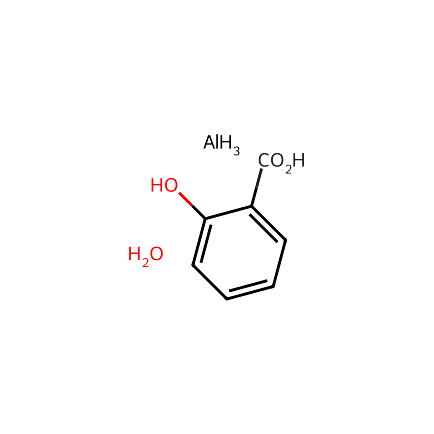 O.O=C(O)c1ccccc1O.[AlH3]